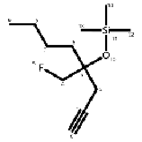 C#CCC(CF)(CCCC)O[Si](C)(C)C